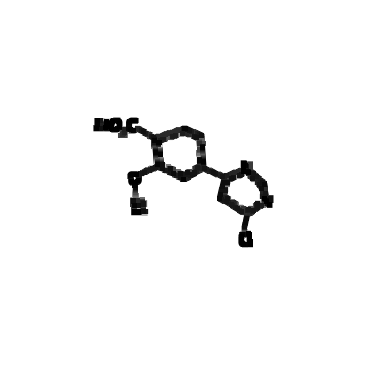 CCOC(=O)c1ccc(-c2cc(Cl)ncn2)cc1OCC